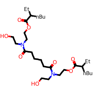 CCCCC(CC)C(=O)OCCN(CCO)C(=O)CCCCC(=O)N(CCO)CCOC(=O)C(CC)CCCC